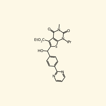 CCOC(=O)c1c(C(O)c2ccc(-c3ncccn3)cc2)sc2c1c(=O)n(C)c(=O)n2C(C)C